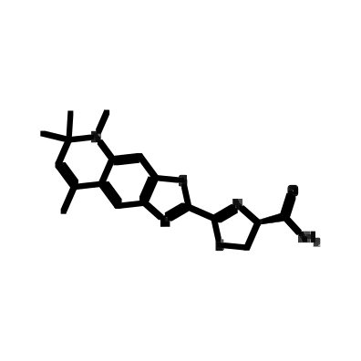 CC1=CC(C)(C)N(C)c2cc3sc(C4=N[C@@H](C(N)=O)CS4)nc3cc21